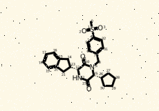 CS(=O)(=O)c1ccc(CN2C(=O)[C@@H](C3Cc4ccccc4C3)NC(=O)[C@H]2C2CCCC2)cc1